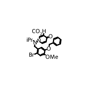 COc1cc(Br)c(CN(C(C)C)n2ccc(=O)c(C(=O)O)c2)cc1OCc1ccccc1